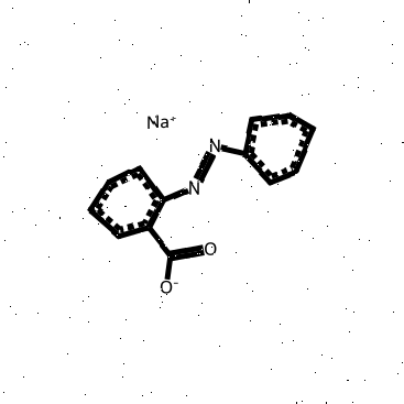 O=C([O-])c1ccccc1N=Nc1ccccc1.[Na+]